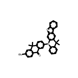 CC(C)(C)c1ccc2c(c1)C(C)(C)c1ccc(N3c4ccccc4C(C)(C)c4cc5c(cc43)sc3ccccc35)cc1C2=O